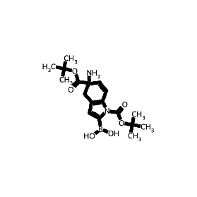 CC(C)(C)OC(=O)n1c(B(O)O)cc2c1C=CC(N)(C(=O)OC(C)(C)C)C2